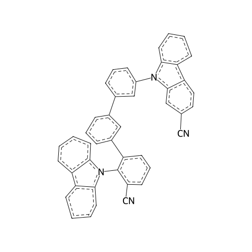 N#Cc1ccc2c3ccccc3n(-c3cccc(-c4cccc(-c5cccc(C#N)c5-n5c6ccccc6c6ccccc65)c4)c3)c2c1